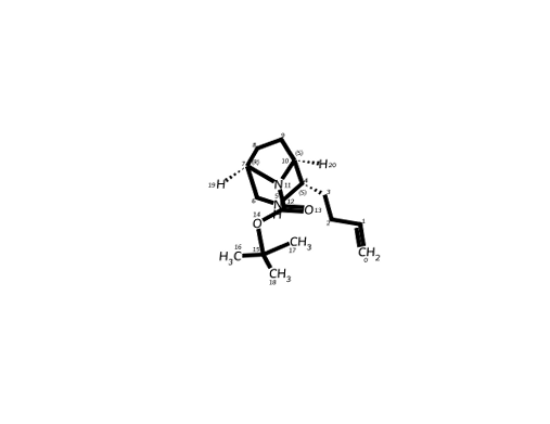 C=CCC[C@@H]1NC[C@H]2CC[C@@H]1N2C(=O)OC(C)(C)C